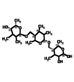 CC1C(C)[C@H](O)[C@H](C)O[C@H]1OC[C@@H]1C(C)O[C@@H](OC[C@H]2C(C)C(O)[C@H](O)O[C@H]2C)C(C)[C@@H]1C